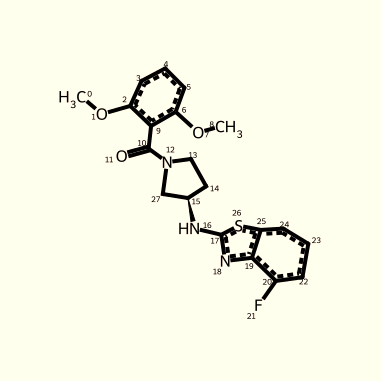 COc1cccc(OC)c1C(=O)N1CC[C@@H](Nc2nc3c(F)cccc3s2)C1